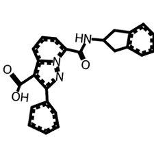 O=C(O)c1c(-c2ccccc2)nn2c(C(=O)NC3Cc4ccccc4C3)cccc12